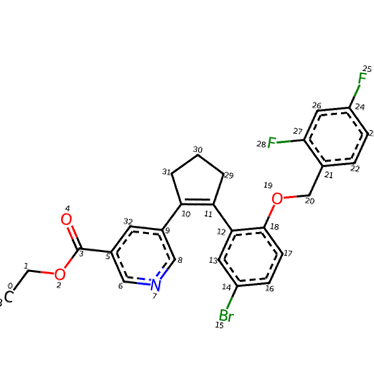 CCOC(=O)c1cncc(C2=C(c3cc(Br)ccc3OCc3ccc(F)cc3F)CCC2)c1